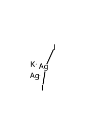 [Ag].[I][Ag][I].[K]